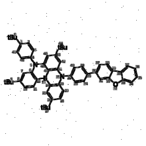 CC(C)(C)c1ccc(N2c3cc(C(C)(C)C)ccc3B3c4cc(C(C)(C)C)ccc4N(c4ccc(-c5ccc6c(c5)oc5ccccc56)cc4)c4cc(C(C)(C)C)cc2c43)cc1